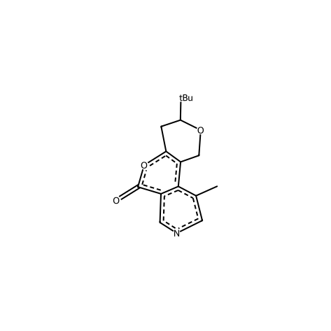 Cc1cncc2c(=O)oc3c(c12)COC(C(C)(C)C)C3